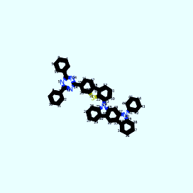 c1ccc(-c2nc(-c3ccccc3)nc(-c3ccc4c(c3)sc3c(-n5c6ccccc6c6cc7c8ccccc8n(-c8ccccc8)c7cc65)cccc34)n2)cc1